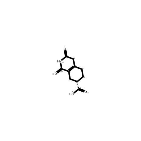 O=C1CC2=C(C[C@@H](C(=O)O)CC2)C(=O)N1